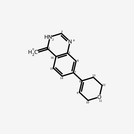 C=C1NC=Nc2cc(C3=CCOCC3)ccc21